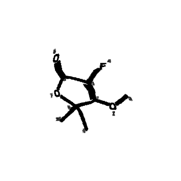 COC1=C(F)C(=O)OC1(C)C